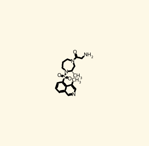 Cc1cncc2cccc(S(=O)(=O)N3CCCN(C(=O)CN)C[C@@H]3C)c12